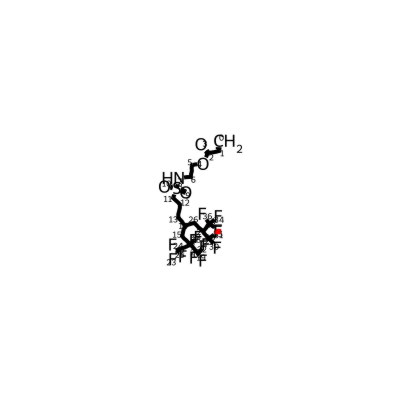 C=CC(=O)OCCNS(=O)(=O)CCCC(CC(F)(C(F)(F)F)C(F)(F)F)CC(F)(C(F)(F)F)C(F)(F)F